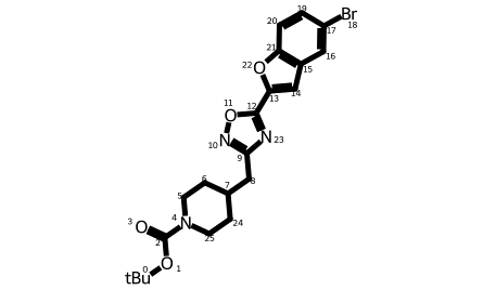 CC(C)(C)OC(=O)N1CCC(Cc2noc(-c3cc4cc(Br)ccc4o3)n2)CC1